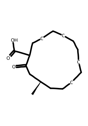 C[C@@H]1CCCCCCCCCCCC(C(=O)O)C(=O)C1